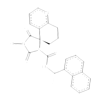 C[C@H](NC(=O)N1C(=O)N(Cl)C(=O)[C@@]12CCCc1ncccc12)c1cccc2ccccc12